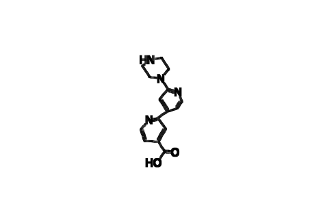 O=C(O)c1ccnc(-c2ccnc(N3CCNCC3)c2)c1